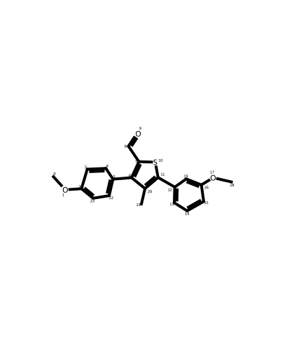 COc1ccc(-c2c(C=O)sc(-c3cccc(OC)c3)c2C)cc1